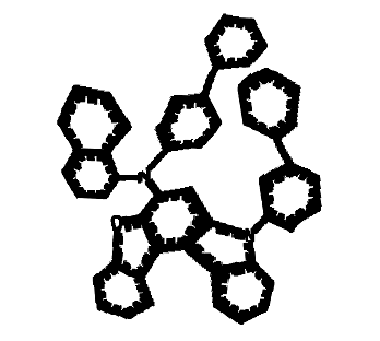 c1ccc(-c2ccc(N(c3cccc4ccccc34)c3cc4c(c5ccccc5n4-c4cccc(-c5ccccc5)c4)c4c3oc3ccccc34)cc2)cc1